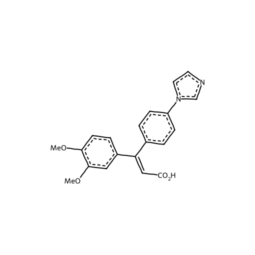 COc1ccc(/C(=C/C(=O)O)c2ccc(-n3ccnc3)cc2)cc1OC